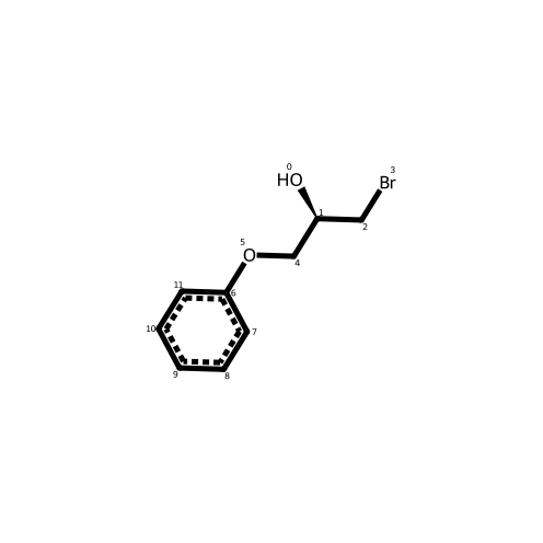 O[C@@H](CBr)COc1ccccc1